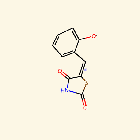 [O]c1ccccc1/C=C1/SC(=O)NC1=O